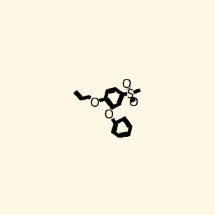 C=CCOc1ccc(S(C)(=O)=O)cc1Oc1ccccc1